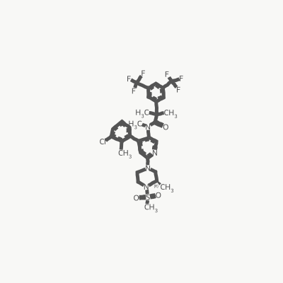 Cc1c(Cl)cccc1-c1cc(N2CCN(S(C)(=O)=O)[C@H](C)C2)ncc1N(C)C(=O)C(C)(C)c1cc(C(F)(F)F)cc(C(F)(F)F)c1